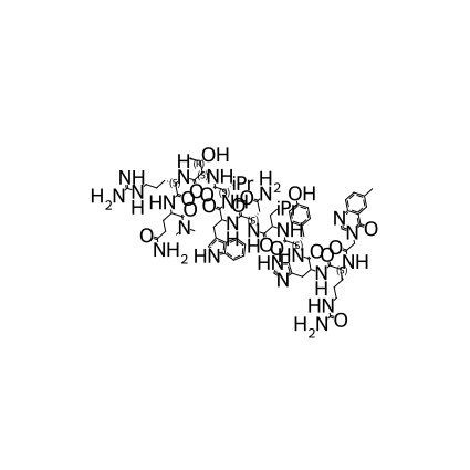 Cc1ccc2ncn(CC(=O)N[C@@H](CCCNC(N)=O)C(=O)NC(Cc3c[nH]cn3)C(=O)N[C@@H](Cc3ccc(O)cc3)C(=O)NC(CC(C)C)C(=O)N[C@@H](CC(N)=O)C(=O)NC(Cc3c[nH]c4ccccc34)C(=O)N[C@H](C(=O)N[C@H](C(=O)N[C@@H](CCCNC(=N)N)C(=O)NC(CCC(N)=O)C(=O)N(C)C)[C@@H](C)O)C(C)C)c(=O)c2c1